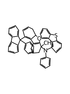 CC1(N(c2ccccc2)c2cccc3sc4ccccc4c23)CC=CC2=C1OC1CC=CC(C3(c4ccccc4)c4ccccc4-c4ccccc43)=C21